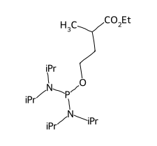 CCOC(=O)C(C)CCOP(N(C(C)C)C(C)C)N(C(C)C)C(C)C